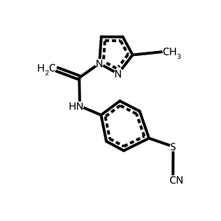 C=C(Nc1ccc(SC#N)cc1)n1ccc(C)n1